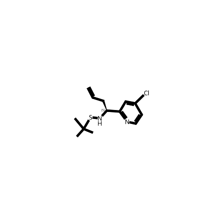 C=CC[C@H](NSC(C)(C)C)c1cc(Cl)ccn1